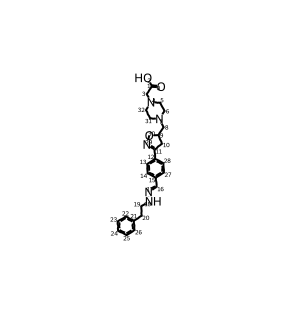 O=C(O)CN1CCN(CC2CC(c3ccc(C=NNCCc4ccccc4)cc3)=NO2)CC1